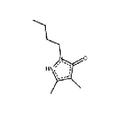 CCCCn1[nH]c(C)c(C)c1=O